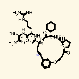 CC(C)(C)[C@H](NC(=O)[C@H](CCCNC(=N)N)NC(=O)[C@@H]1C/C=C/c2cccc(c2)OCCC(=O)N2CCC[C@H]2C(=O)N[C@@H](C2CCCCC2)C(=O)N1)C(N)=O